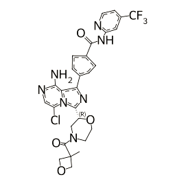 CC1(C(=O)N2CCO[C@@H](c3nc(-c4ccc(C(=O)Nc5cc(C(F)(F)F)ccn5)cc4)c4c(N)ncc(Cl)n34)C2)COC1